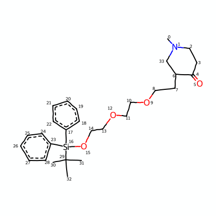 CN1CCC(=O)C(CCOCCOCCO[Si](c2ccccc2)(c2ccccc2)C(C)(C)C)C1